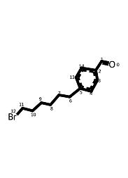 O=Cc1ccc(CCCCCCBr)cc1